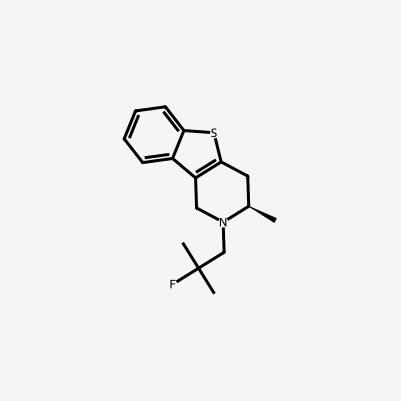 C[C@@H]1Cc2sc3ccccc3c2CN1CC(C)(C)F